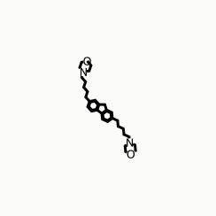 c1cc2c(cc1CCCCCN1CCOCC1)Cc1cc(CCCCCN3CCOCC3)ccc1-2